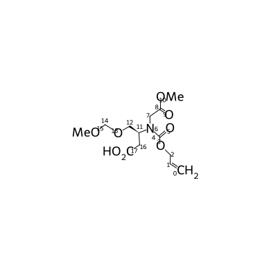 C=CCOC(=O)N(CC(=O)OC)[C@H](COCOC)CC(=O)O